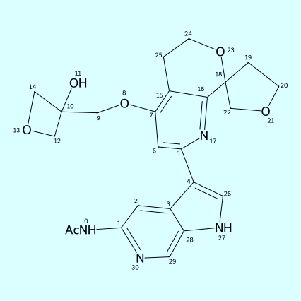 CC(=O)Nc1cc2c(-c3cc(OCC4(O)COC4)c4c(n3)C3(CCOC3)OCC4)c[nH]c2cn1